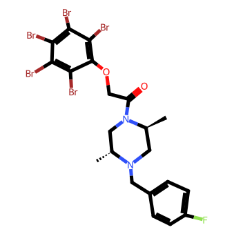 C[C@@H]1CN(C(=O)COc2c(Br)c(Br)c(Br)c(Br)c2Br)[C@@H](C)CN1Cc1ccc(F)cc1